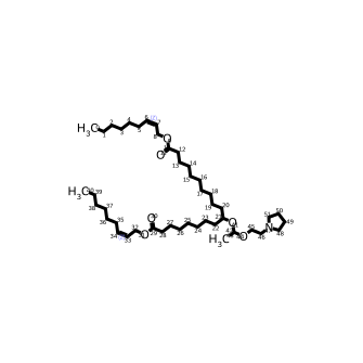 CCCCCC/C=C\COC(=O)CCCCCCCCCC(CCCCCCCC(=O)OC/C=C\CCCCCC)OC(C)OCCN1CCCC1